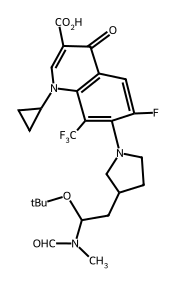 CN(C=O)C(CC1CCN(c2c(F)cc3c(=O)c(C(=O)O)cn(C4CC4)c3c2C(F)(F)F)C1)OC(C)(C)C